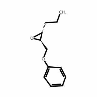 CCC[C@H]1O[C@@H]1COc1cc[c]cc1